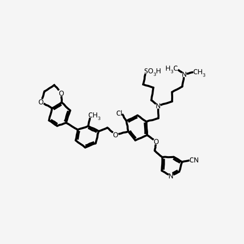 Cc1c(COc2cc(OCc3cncc(C#N)c3)c(CN(CCCN(C)C)CCCS(=O)(=O)O)cc2Cl)cccc1-c1ccc2c(c1)OCCO2